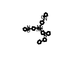 c1ccc(-c2cccc(-n3c4ccccc4c4cc(-c5nc(-c6ccc(-c7nc8ccccc8o7)cc6)nc(-c6ccc(-c7nc8ccccc8o7)cc6)n5)ccc43)c2)cc1